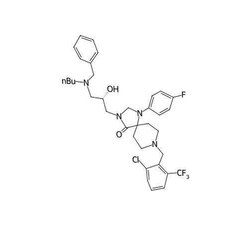 CCCCN(Cc1ccccc1)C[C@H](O)CN1CN(c2ccc(F)cc2)C2(CCN(Cc3c(Cl)cccc3C(F)(F)F)CC2)C1=O